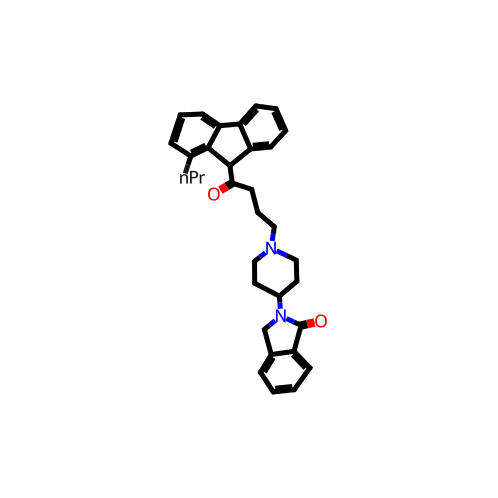 CCCc1cccc2c1C(C(=O)CCCN1CCC(N3Cc4ccccc4C3=O)CC1)c1ccccc1-2